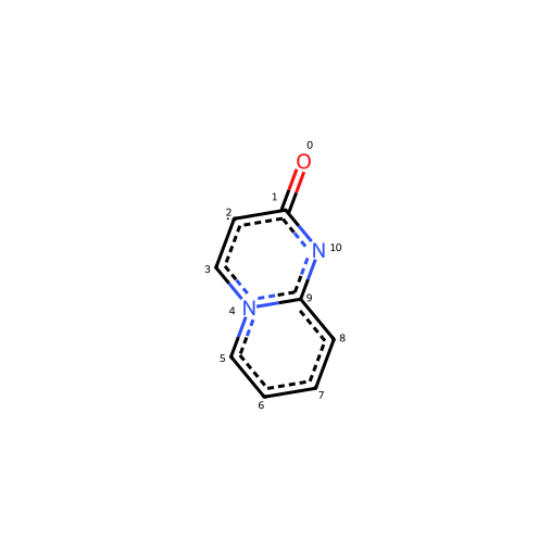 O=c1[c]cn2ccccc2n1